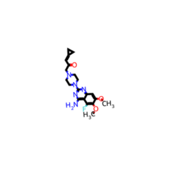 COc1cc2nc(N3CCN(CC(=O)C=C4CC4)CC3)nc(N)c2c(F)c1OC